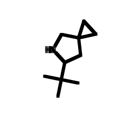 CC(C)(C)C1CC2(CC2)CN1